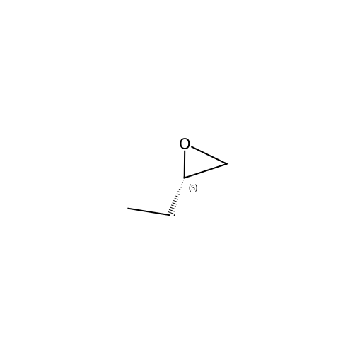 C[CH][C@H]1CO1